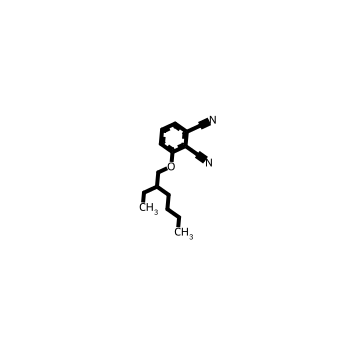 CCCCC(CC)COc1cccc(C#N)c1C#N